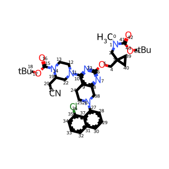 CN(CC1(COc2nc3c(c(N4CCN(C(=O)OC(C)(C)C)C(CC#N)C4)n2)CCN(c2cccc4cccc(Cl)c24)C3)CC1)C(=O)OC(C)(C)C